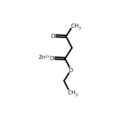 CCOC(=O)CC(C)=O.[Zn+2]